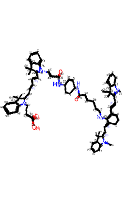 CN1/C(=C/C=C2\CCCC(/C=C/C3=[N+](C)c4ccccc4C3(C)C)=C2NCCCCCC(=O)N[C@H]2CC[C@H](NC(=O)CC[N+]3=C(/C=C/C=C/C=C4/N(CCC(=O)O)c5ccccc5C4(C)C)C(C)(C)c4ccccc43)CC2)C(C)(C)c2ccccc21